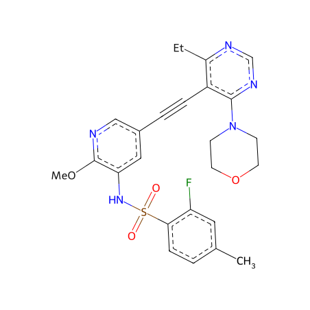 CCc1ncnc(N2CCOCC2)c1C#Cc1cnc(OC)c(NS(=O)(=O)c2ccc(C)cc2F)c1